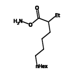 CCCCCCCCCCC(CC)C(=O)ON